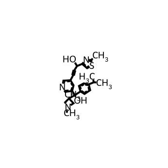 Cc1nc(C(O)C#Cc2cncc(C(O)(c3ccc(C(C)C)cc3)C3(C)CN(C)C3)c2)cs1